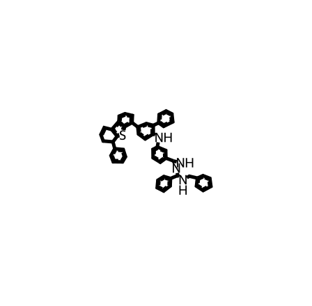 C1=Cc2c(sc3c(-c4ccc(Nc5cccc(C6NN6C(NCc6ccccc6)c6ccccc6)c5)c(-c5ccccc5)c4)cccc23)C(c2ccccc2)C1